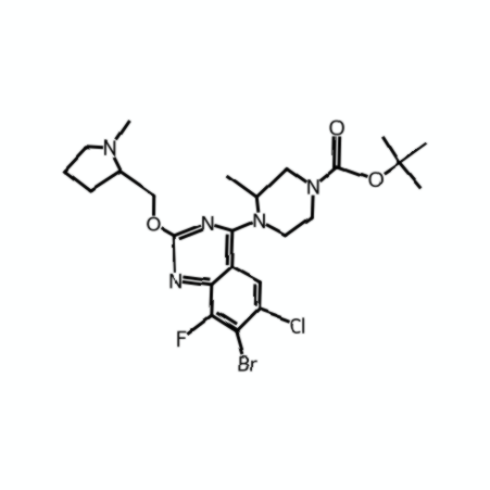 CC1CN(C(=O)OC(C)(C)C)CCN1c1nc(OCC2CCCN2C)nc2c(F)c(Br)c(Cl)cc12